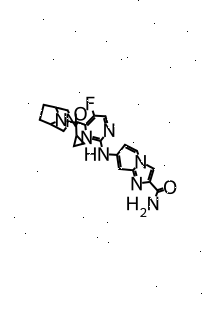 NC(=O)c1cn2ccc(Nc3ncc(F)c(N4CC5CCC(C4)N5C(=O)C4CC4)n3)cc2n1